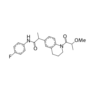 COC(C)C(=O)N1CCCc2cc(C(C)C(=O)Nc3ccc(F)cc3)ccc21